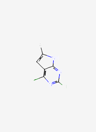 CC(=O)c1cc2c(Cl)nc(Cl)nc2[nH]1